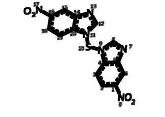 O=[N+]([O-])c1ccc2c(c1)ncn2Sn1cnc2cc([N+](=O)[O-])ccc21